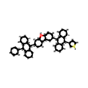 c1ccc(-c2c3ccccc3c(-c3ccc4c(c3)oc3ccc(-c5c6ccccc6c(-c6ccsc6)c6ccccc56)cc34)c3ccccc23)cc1